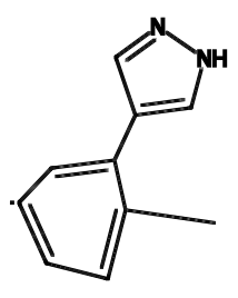 Cc1cc[c]cc1-c1cn[nH]c1